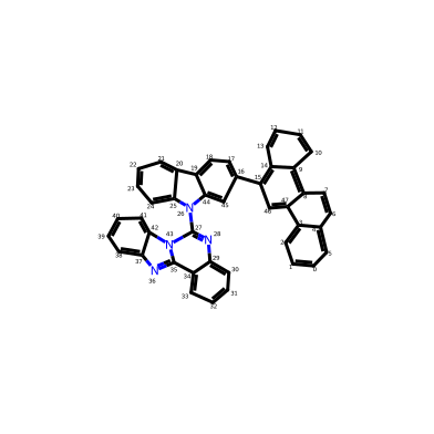 c1ccc2c(c1)ccc1c3ccccc3c(-c3ccc4c5ccccc5n(-c5nc6ccccc6c6nc7ccccc7n56)c4c3)cc21